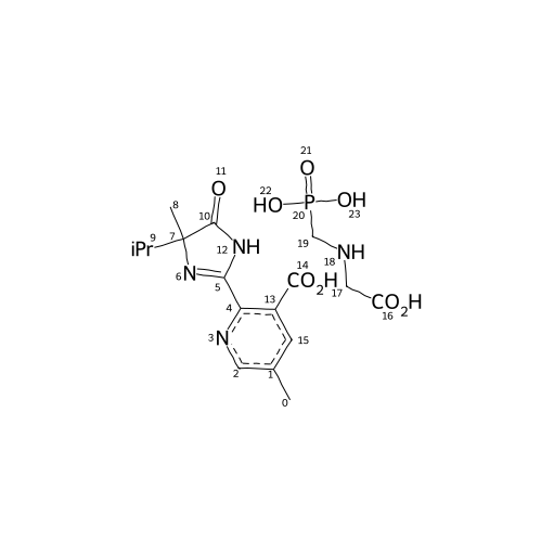 Cc1cnc(C2=NC(C)(C(C)C)C(=O)N2)c(C(=O)O)c1.O=C(O)CNCP(=O)(O)O